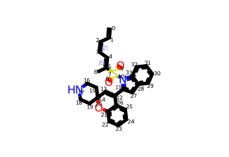 C=C/C=C\C=C(/C)S(=O)(=O)n1c(C2=CC3(CCNCC3)Oc3ccccc32)cc2ccccc21